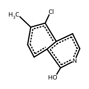 Cc1ccc2c(O)nccc2c1Cl